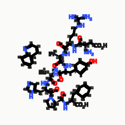 CC[C@H](C)[C@H](NC(=O)[C@H](Cc1ccc(O)cc1)NC(=O)[C@@H](NC(=O)[C@H](CCCNC(=N)N)NC(=O)[C@@H](N)CC(=O)O)C(C)C)C(=O)N[C@@H](Cc1cnc[nH]1)C(=O)N1CCC[C@H]1C(=O)N[C@@H](Cc1ccccc1)C(=O)O.c1ccc2ncccc2c1